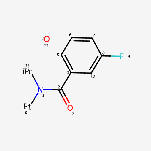 CCN(C(=O)c1cccc(F)c1)C(C)C.[O]